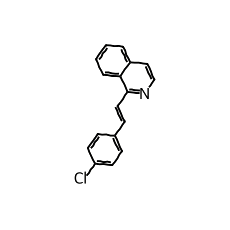 Clc1ccc(/C=C/c2nccc3ccccc23)cc1